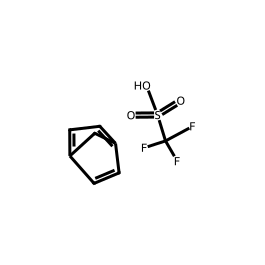 C1=CC2=CC=C1C2.O=S(=O)(O)C(F)(F)F